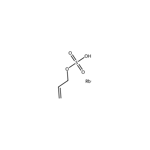 C=CCOS(=O)(=O)O.[Rb]